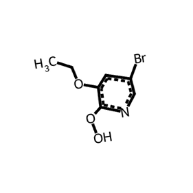 CCOc1cc(Br)cnc1OO